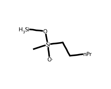 CCCCC[Si](C)([O])O[SiH3]